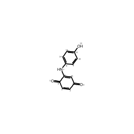 O=C1C=CC(=O)C(Nc2ccc(O)cc2)=C1